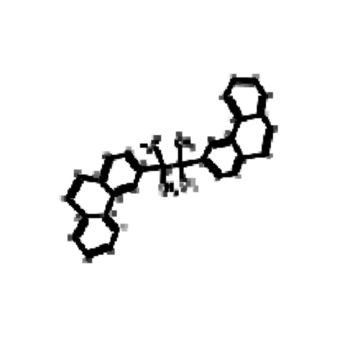 CC(C)(c1ccc2ccc3ccccc3c2c1)C(C)(C)c1ccc2ccc3ccccc3c2c1